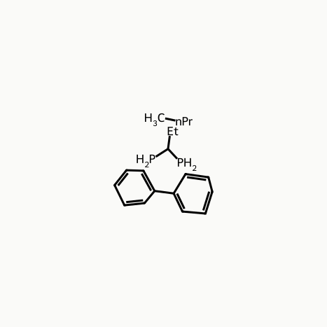 CCC(P)P.CCCC.c1ccc(-c2ccccc2)cc1